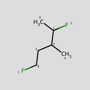 CC(F)C(C)C[CH]F